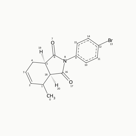 CC1C=CC[C@H]2C(=O)N(c3ccc(Br)cc3)C(=O)[C@@H]12